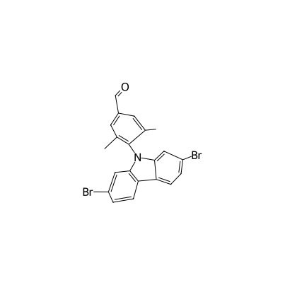 Cc1cc(C=O)cc(C)c1-n1c2cc(Br)ccc2c2ccc(Br)cc21